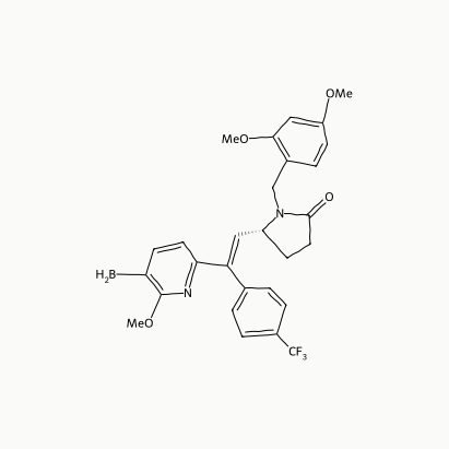 Bc1ccc(/C(=C/[C@H]2CCC(=O)N2Cc2ccc(OC)cc2OC)c2ccc(C(F)(F)F)cc2)nc1OC